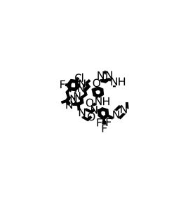 CCN1CCN(Cc2ccc(N(C(=O)Nc3ccc(Oc4cc(NC)ncn4)cc3)C3CN(Cc4cc(Cc5cc(C)n[nH]5)nn5c(Cc6ccc(Cl)cc6F)c(C)nc45)CCO3)cc2C(F)(F)F)CC1